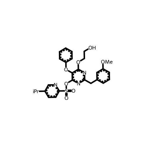 COc1cccc(Cc2nc(OCCO)c(Oc3ccccc3)c(OS(=O)(=O)c3ccc(C(C)C)cn3)n2)c1